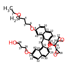 CCO[SiH2]CCCOc1ccc2ccc(OCC3CO3)c(Cc3c(OCC4CO4)ccc4ccc(OCCCO)cc34)c2c1